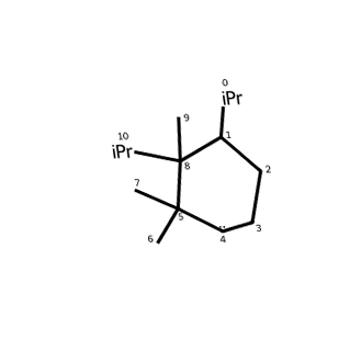 CC(C)C1CC[C]C(C)(C)C1(C)C(C)C